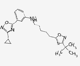 CC(C)(C)c1noc(CCCCCNc2cccc(-c3nc(C4CC4)no3)c2)n1